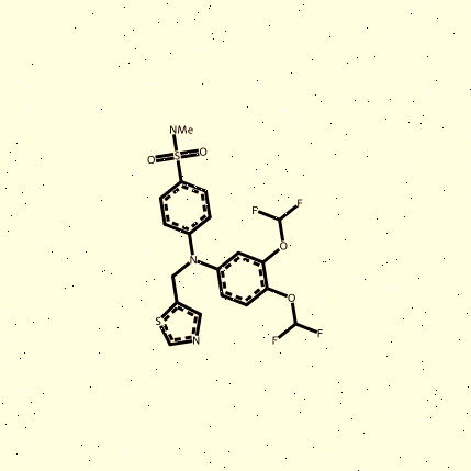 CNS(=O)(=O)c1ccc(N(Cc2cncs2)c2ccc(OC(F)F)c(OC(F)F)c2)cc1